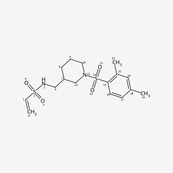 C=CS(=O)(=O)NCC1CCCN(S(=O)(=O)c2ccc(C)cc2C)C1